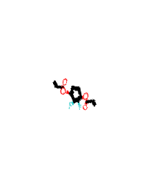 C=CC(=O)Oc1ccc(OC(=O)C=C)c(F)c1F